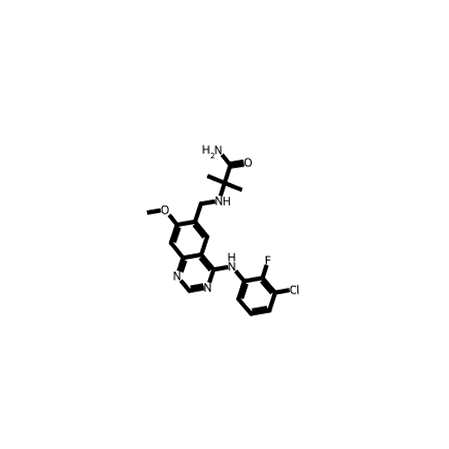 COc1cc2ncnc(Nc3cccc(Cl)c3F)c2cc1CNC(C)(C)C(N)=O